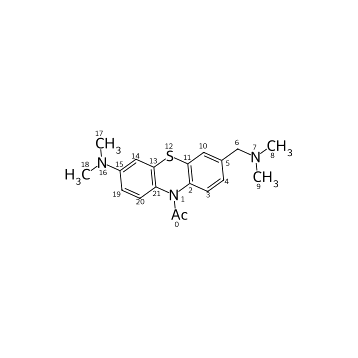 CC(=O)N1c2ccc(CN(C)C)cc2Sc2cc(N(C)C)ccc21